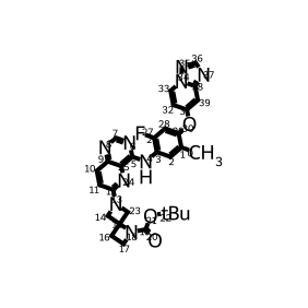 Cc1cc(Nc2ncnc3ccc(N4CC5(CCN5C(=O)OC(C)(C)C)C4)nc23)c(F)cc1Oc1ccn2ncnc2c1